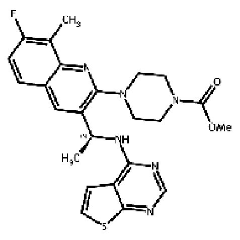 COC(=O)N1CCN(c2nc3c(C)c(F)ccc3cc2[C@H](C)Nc2ncnc3sccc23)CC1